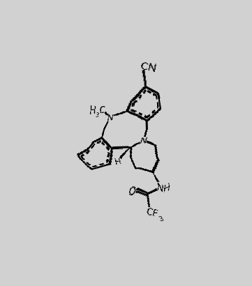 CN1c2ccccc2[C@H]2C[C@H](NC(=O)C(F)(F)F)CCN2c2ccc(C#N)cc21